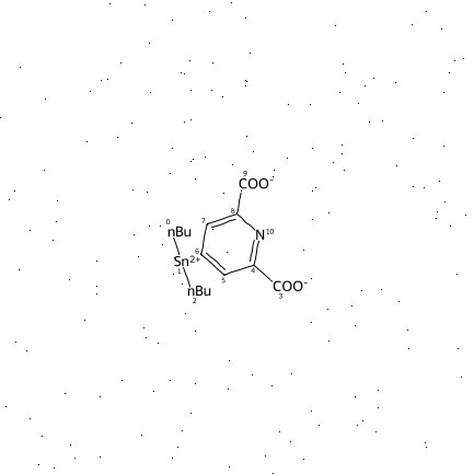 CCC[CH2][Sn+2][CH2]CCC.O=C([O-])c1cccc(C(=O)[O-])n1